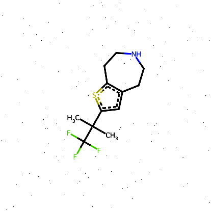 CC(C)(c1cc2c(s1)CCNCC2)C(F)(F)F